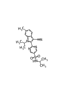 Cc1ccc2c(C#N)c(-c3ncc(S(=O)(=O)NC(C)C)cn3)n(C(C)C)c2c1